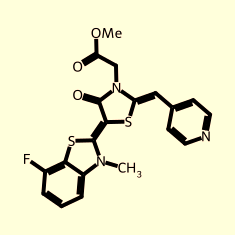 COC(=O)Cn1c(=O)/c(=C2\Sc3c(F)cccc3N2C)s/c1=C\c1ccncc1